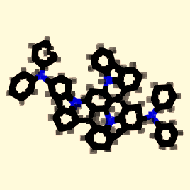 c1ccc(N(c2ccccc2)c2ccc3c(c2)c2cccc4c2n3-c2cc3c5c6c2B4c2cccc4c7cc(N(c8ccccc8)c8ccccc8)cc(c7n-6c24)B5c2cccc4c5ccccc5n-3c24)cc1